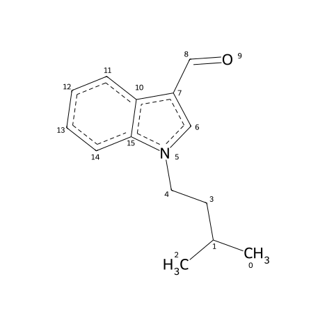 CC(C)CCn1cc(C=O)c2ccccc21